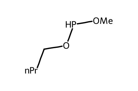 CCCCOPOC